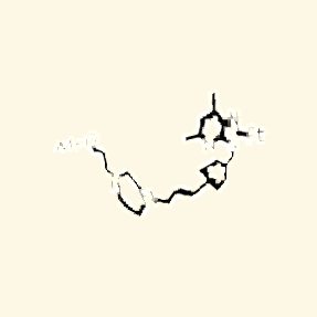 CCc1nc2c(C)cc(C)nc2n1Cc1ccc(C=CCN2CCN(CCCOC)CC2)cc1